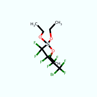 CCO[Si](OCC)(OCC)C(F)(F)C(F)(F)C(F)(F)C(F)(F)Br